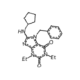 CCn1c(=O)c2c(nc(NC3CCCC3)n2Cc2ccccc2)n(CC)c1=O